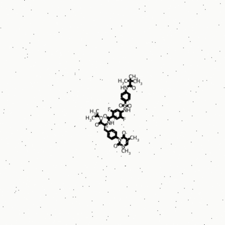 Cc1cn(C)c(=O)n(-c2ccc(C[C@H](NC(=O)c3cc(F)c(NS(=O)(=O)c4ccc(NC(=O)C(C)(C)C)cc4)cc3F)C(=O)OC(C)C)cc2)c1=O